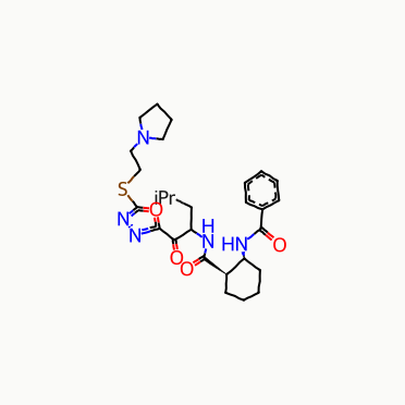 CC(C)CC(NC(=O)[C@@H]1CCCC[C@@H]1NC(=O)c1ccccc1)C(=O)c1nnc(SCCN2CCCC2)o1